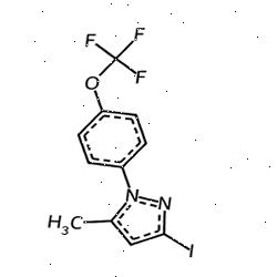 Cc1cc(I)nn1-c1ccc(OC(F)(F)F)cc1